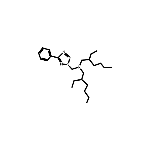 CCCCC(CC)CN(CC(CC)CCCC)Cn1nnc(-c2ccccc2)n1